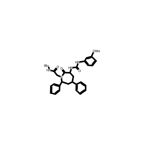 COc1cccc(NC(=O)NC2CC(c3ccccc3)CC(c3ccccc3)N(CC(=O)NC(C)(C)C)C2=O)c1